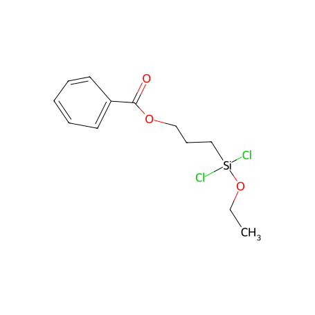 CCO[Si](Cl)(Cl)CCCOC(=O)c1ccccc1